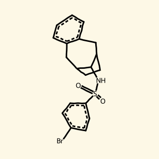 O=S(=O)(NC1C2CCC1Cc1ccccc1C2)c1ccc(Br)cc1